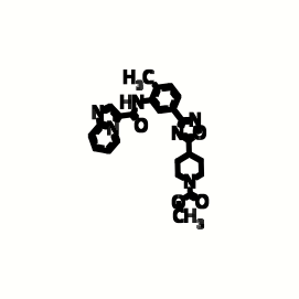 COC(=O)N1CCC(c2nc(-c3ccc(C)c(NC(=O)c4cnc5ccccn45)c3)no2)CC1